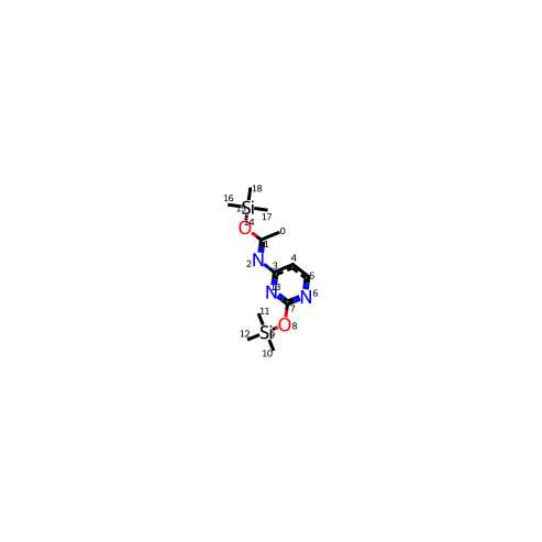 C/C(=N\c1ccnc(O[Si](C)(C)C)n1)O[Si](C)(C)C